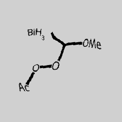 COC(C)OOC(C)=O.[BiH3]